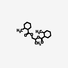 CC(COC(=O)C1CCCCC1C)OC(=O)C1CCCCC1C